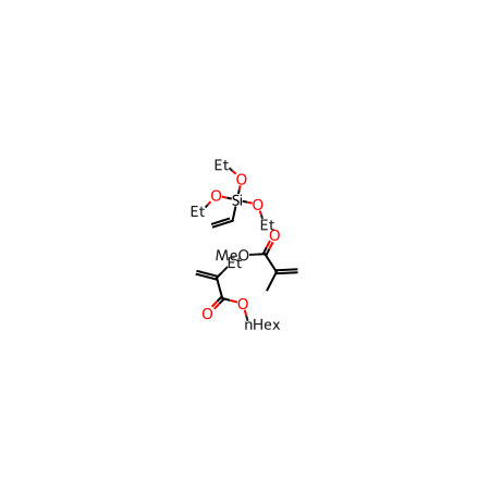 C=C(C)C(=O)OC.C=C(CC)C(=O)OCCCCCC.C=C[Si](OCC)(OCC)OCC